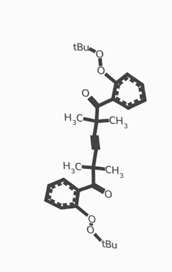 CC(C)(C)OOc1ccccc1C(=O)C(C)(C)C#CC(C)(C)C(=O)c1ccccc1OOC(C)(C)C